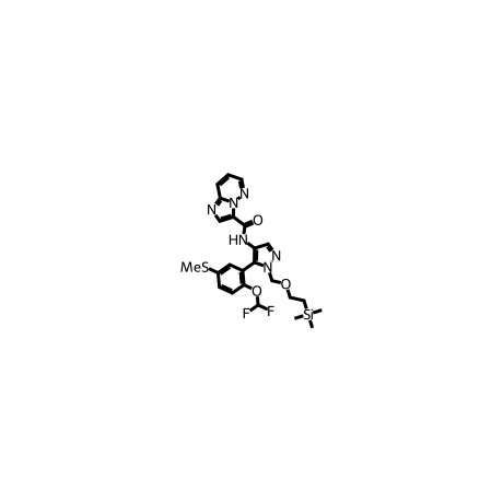 CSc1ccc(OC(F)F)c(-c2c(NC(=O)c3cnc4cccnn34)cnn2COCC[Si](C)(C)C)c1